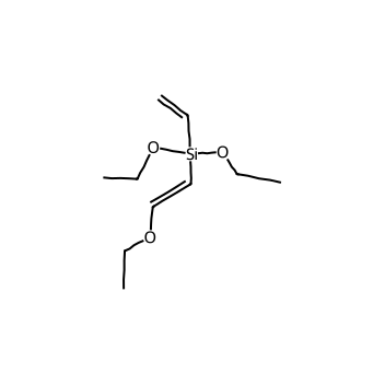 C=C[Si](C=COCC)(OCC)OCC